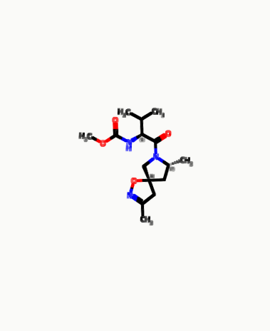 COC(=O)N[C@H](C(=O)N1C[C@]2(CC(C)=NO2)C[C@H]1C)C(C)C